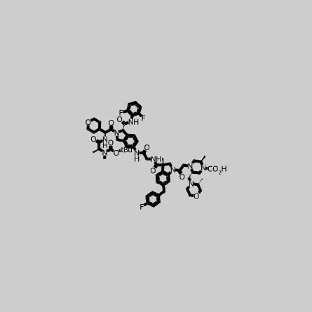 C[C@@H]1COCCN1C[C@H]1CN(C(=O)O)[C@H](C)CN1CC(=O)N1C[C@@](C)(C(=O)NCC(=O)Nc2ccc3c(c2)CN(C(=O)[C@@H](NC(=O)[C@H](C)N(C)C(=O)OC(C)(C)C)C2CCOCC2)[C@@H]3C(=O)Nc2c(F)cccc2F)c2ccc(Cc3ccc(F)cc3)cc21